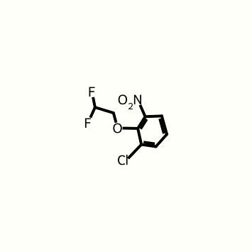 O=[N+]([O-])c1cccc(Cl)c1OCC(F)F